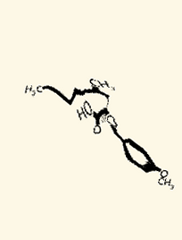 CCCCCC(C)C[C@H](OCc1ccc(OC)cc1)C(=O)O